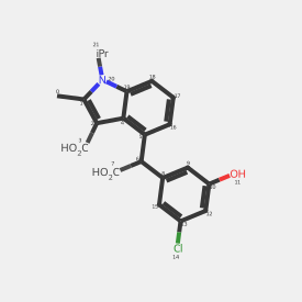 Cc1c(C(=O)O)c2c(C(C(=O)O)c3cc(O)cc(Cl)c3)cccc2n1C(C)C